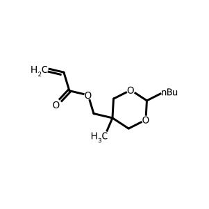 C=CC(=O)OCC1(C)COC(CCCC)OC1